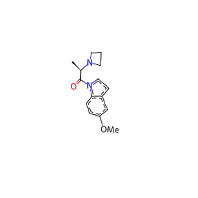 COc1ccc2c(ccn2C(=O)[C@@H](C)N2CCC2)c1